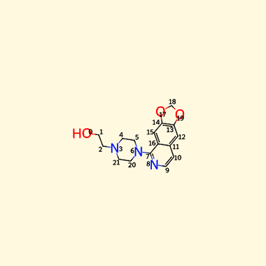 OCCN1CCN(c2nccc3cc4c(cc23)OCO4)CC1